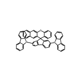 c1ccc2c(c1)Sc1cc3ccccc3cc1C21c2cc(-n3c4ccccc4c4ccccc43)ccc2-c2ccc(-n3c4ccccc4c4ccccc43)cc21